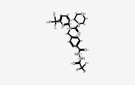 O=C(NNC(=O)C(F)(F)F)c1ccc(CN(C(=O)N2CCOCC2)c2cccc(C(F)(F)F)n2)cc1